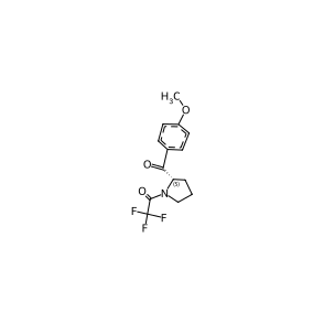 COc1ccc(C(=O)[C@@H]2CCCN2C(=O)C(F)(F)F)cc1